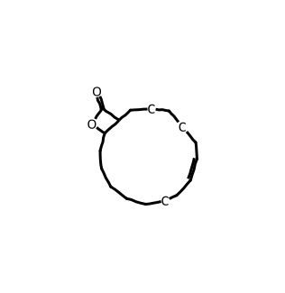 O=C1OC2CCCCCCC/C=C\CCCCCC12